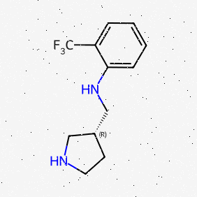 FC(F)(F)c1ccccc1NC[C@@H]1CCNC1